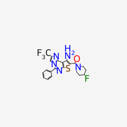 Nc1c(C(=O)N2CCC(F)CC2)sc2nc(-c3ccccc3)n3cc(C(F)(F)F)nc3c12